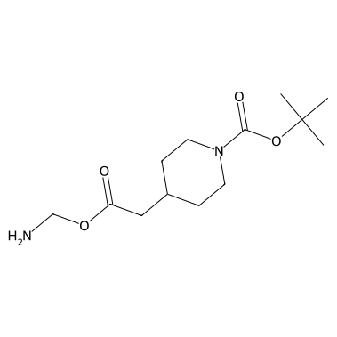 CC(C)(C)OC(=O)N1CCC(CC(=O)OCN)CC1